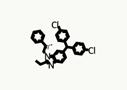 CCc1nc2ccc(C(c3ccc(Cl)cc3)c3ccc(Cl)cc3)cc2n1C[C@@H](C)c1ccccc1